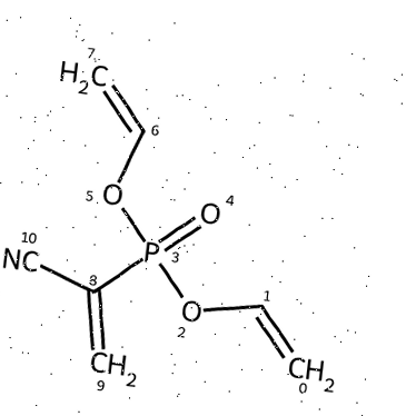 C=COP(=O)(OC=C)C(=C)C#N